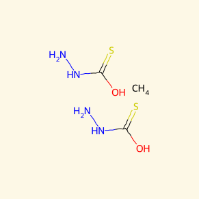 C.NNC(O)=S.NNC(O)=S